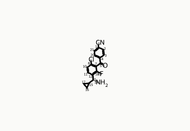 N#Cc1ccc(C(=O)c2c(Cl)ccc([C@H](N)C3CC3)c2F)cc1